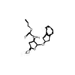 C=CCOC(=O)NC1CC(=O)OC1OC1Cc2ccccc2C1